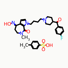 CN1CCC(=NO)c2ccn(CCCCN3CCC(C(=O)c4ccc(F)cc4)CC3)c2C1=O.Cc1ccc(S(=O)(=O)O)cc1